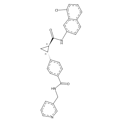 O=C(NCc1cccnc1)c1ccc([C@@H]2C[C@H]2C(=O)Nc2ccc3cccc(Cl)c3c2)cc1